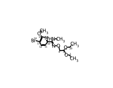 CCOC(CO/N=C(\NC)c1ccc(Br)c(OC)n1)OCC